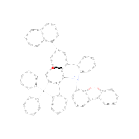 c1ccc(C2(c3ccccc3)c3ccccc3-c3c(N(c4ccccc4-c4cccc(-c5cccc6ccccc56)c4)c4cccc5c4oc4ccccc45)cccc32)cc1